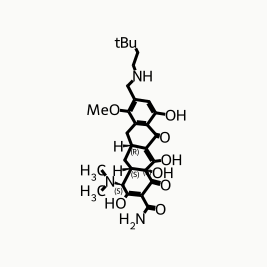 COc1c(CNCCC(C)(C)C)cc(O)c2c1C[C@H]1C[C@H]3[C@H](N(C)C)C(O)=C(C(N)=O)C(=O)[C@@]3(O)C(O)=C1C2=O